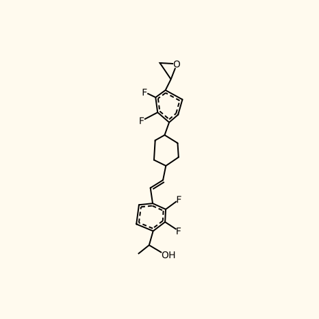 CC(O)c1ccc(/C=C/C2CCC(c3ccc(C4CO4)c(F)c3F)CC2)c(F)c1F